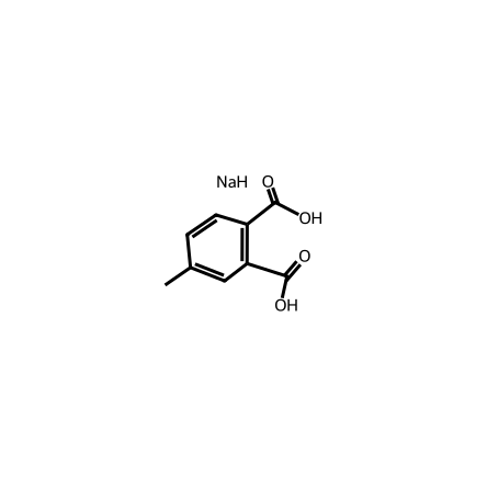 Cc1ccc(C(=O)O)c(C(=O)O)c1.[NaH]